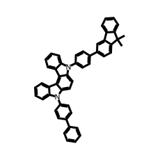 CC1(C)c2ccccc2-c2cc(-c3ccc(-n4c5ccccc5c5c6c7ccccc7n(-c7ccc(-c8ccccc8)cc7)c6ccc54)cc3)ccc21